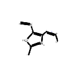 C=Nc1oc(C)nc1/C=C\C